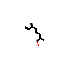 C=CC(=C)CC/C=C(/C)CO